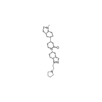 Cn1ccc2cc(-c3ccn(-c4ccc5c(cnn5CCN5CCCC5)c4)c(=O)c3)ccc21